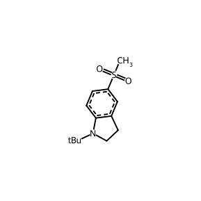 CC(C)(C)N1CCc2cc(S(C)(=O)=O)ccc21